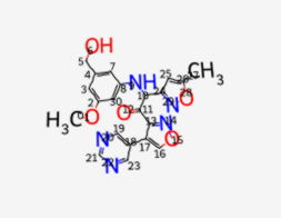 COc1cc(CO)cc(NC(C(=O)c2nocc2-c2cncnc2)c2cc(C)on2)c1